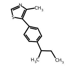 CCC(C)c1ccc(-c2scnc2C)cc1